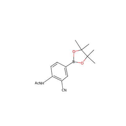 CC(=O)Nc1ccc(B2OC(C)(C)C(C)(C)O2)cc1C#N